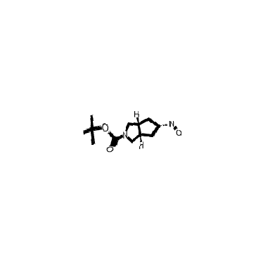 CC(C)(C)OC(=O)N1C[C@H]2C[C@@H](N=O)C[C@H]2C1